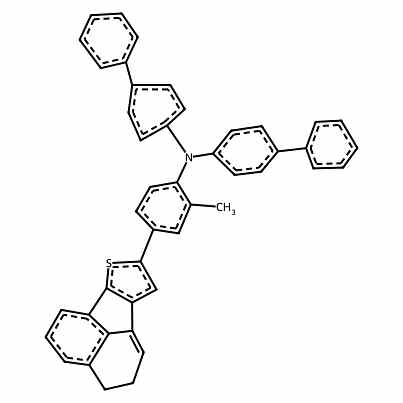 Cc1cc(-c2cc3c(s2)-c2cccc4c2C3=CCC4)ccc1N(c1ccc(-c2ccccc2)cc1)c1ccc(-c2ccccc2)cc1